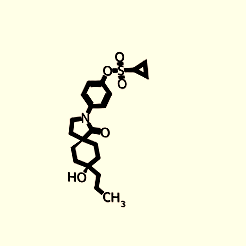 CCC[C@]1(O)CC[C@]2(CCN(c3ccc(OS(=O)(=O)C4CC4)cc3)C2=O)CC1